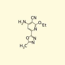 CCOc1nc(-c2nnc(C)o2)cc(N)c1C#N